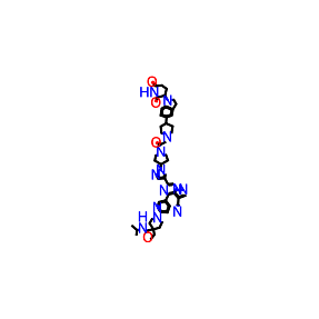 CCC1(C(=O)NC(C)C)CCN(c2ccc(-c3nc(-c4cnn(C5CCN(C(=O)CN6CCC(c7ccc8c(c7)CCN8C7CCC(=O)NC7=O)CC6)CC5)c4)cn4ncc(C#N)c34)cn2)CC1